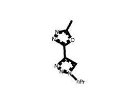 CCCn1cc(-c2nnc(C)o2)nn1